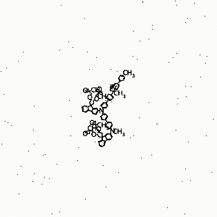 Cc1ccc(-c2ccc(C(C)(CC(C)C)c3ccc(-c4ccc(N(c5ccc(-c6ccc(N(C)c7ccc8c(c7)C(CCOCC7(C)COC7)(CCOCC7(C)COC7)c7ccccc7-8)cc6)cc5)c5ccc6c(c5)C(CCOCC5(C)COC5)(CCOCC5(C)COC5)c5ccccc5-6)cc4)cc3)cc2)cc1